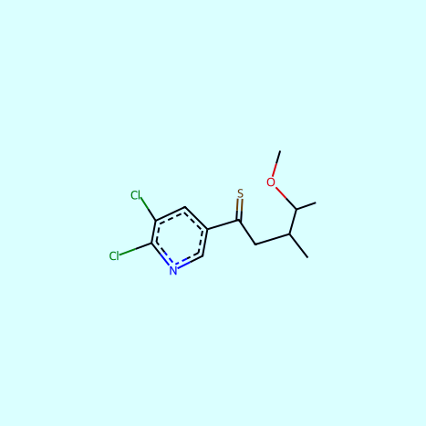 COC(C)C(C)CC(=S)c1cnc(Cl)c(Cl)c1